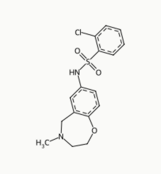 CN1CCOc2ccc(NS(=O)(=O)c3ccccc3Cl)cc2C1